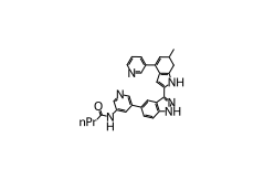 CCCC(=O)Nc1cncc(-c2ccc3[nH]nc(-c4cc5c([nH]4)CC(C)C=C5c4cccnc4)c3c2)c1